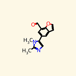 Cc1ncc(-c2cc(C=O)c3occc3c2)n1C